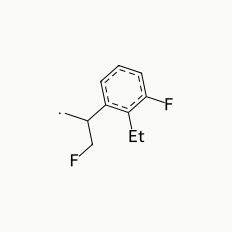 [CH2]C(CF)c1cccc(F)c1CC